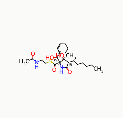 CCCCCC[C@H]1C(=O)N[C@](C(=O)SCCNC(C)=O)([C@@H](O)[C@@H]2C=CCCC2)[C@@]1(C)O